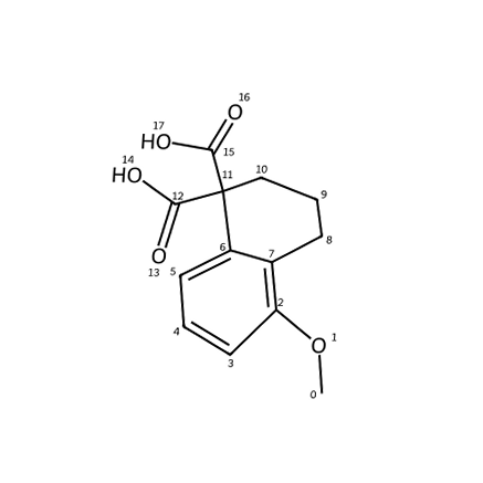 COc1cccc2c1CCCC2(C(=O)O)C(=O)O